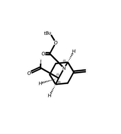 C=C1C[C@H]2CC[C@@H]1N(C(=O)OC(C)(C)C)[C@@H]2C(=O)I